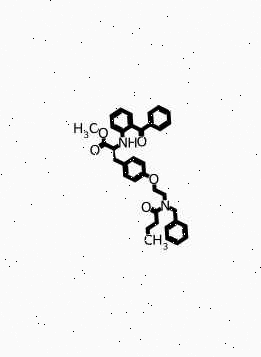 CCCC(=O)N(CCOc1ccc(C[C@H](Nc2ccccc2C(=O)c2ccccc2)C(=O)OC)cc1)Cc1ccccc1